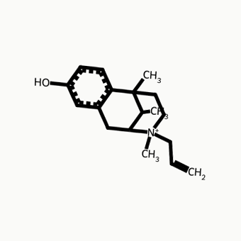 C=CC[N+]1(C)CCC2(C)c3ccc(O)cc3CC1C2C